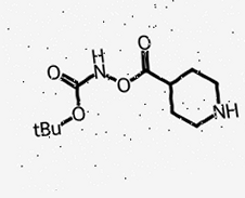 CC(C)(C)OC(=O)NOC(=O)C1CCNCC1